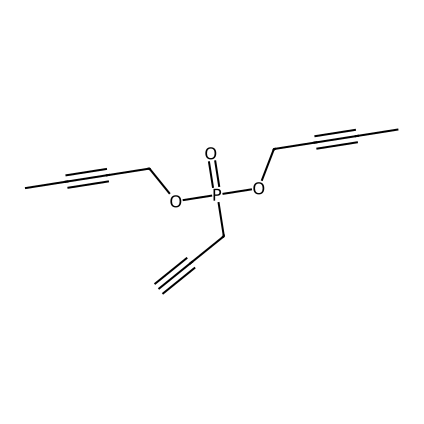 C#CCP(=O)(OCC#CC)OCC#CC